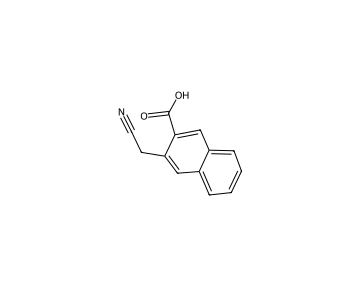 N#CCc1cc2ccccc2cc1C(=O)O